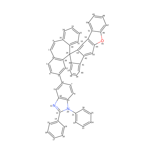 C1=Cc2ccc(-c3ccc4c(c3)nc(-c3ccccc3)n4-c3ccccc3)cc2C2(c3ccccc31)c1ccccc1-c1cc3oc4ccccc4c3cc12